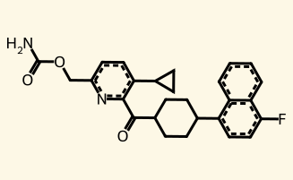 NC(=O)OCc1ccc(C2CC2)c(C(=O)C2CCC(c3ccc(F)c4ccccc34)CC2)n1